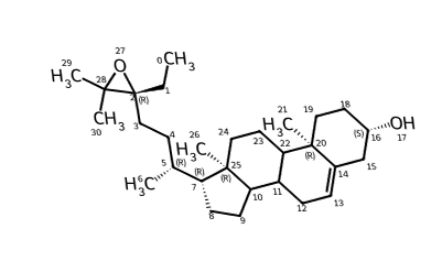 CC[C@]1(CC[C@@H](C)[C@H]2CCC3C4CC=C5C[C@@H](O)CC[C@]5(C)C4CC[C@@]32C)OC1(C)C